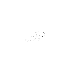 CC1(N2CCN(S(=O)(=O)c3ccc(F)cc3Cl)CC2)CC1